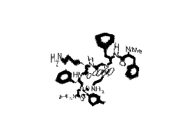 CN[C@@H](Cc1ccccc1)C(=O)NC(Cc1ccccc1)CN(CC(=O)N[C@@H](CCCCN)C(=O)N[C@@H](Cc1ccccc1)CN(CC(N)=O)S(=O)(=O)c1ccc(C)cc1)S(=O)(=O)CCN